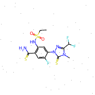 CCS(=O)(=O)Nc1cc(-n2nc(C(F)F)n(C)c2=S)c(F)cc1C(N)=S